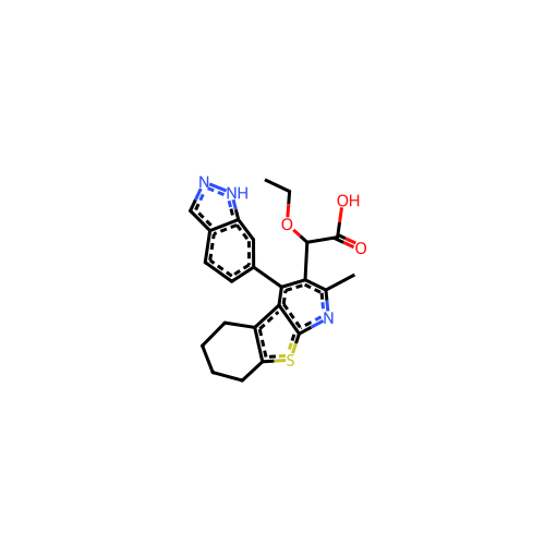 CCOC(C(=O)O)c1c(C)nc2sc3c(c2c1-c1ccc2cn[nH]c2c1)CCCC3